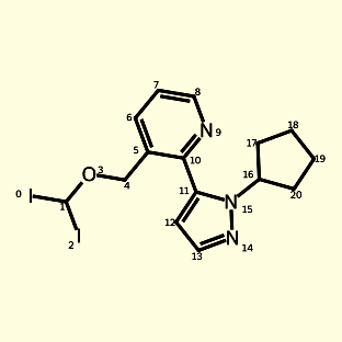 IC(I)OCc1cccnc1-c1ccnn1C1CCCC1